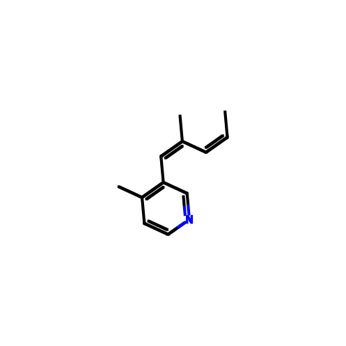 C/C=C\C(C)=C/c1cnccc1C